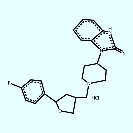 Cl.Fc1ccc(C2CC(CN3CCC(n4c(=S)[nH]c5ccccc54)CC3)CO2)cc1